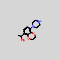 CC(O)c1ccc(N2CCNCC2)c2c1OCCO2